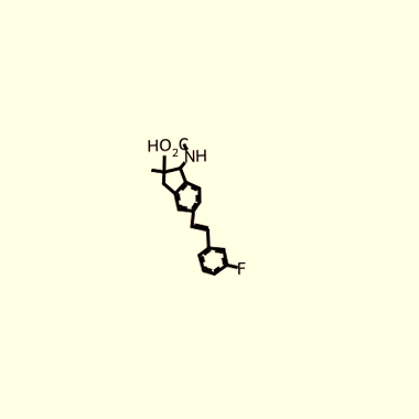 CC1(C)Cc2cc(/C=C/c3cccc(F)c3)ccc2C1NC(=O)O